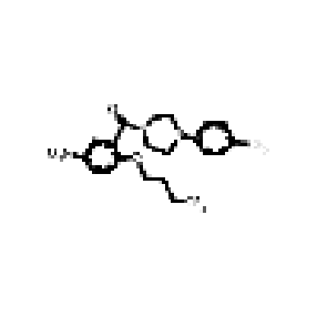 O=C(c1cc([N+](=O)[O-])ccc1OCCCC(F)(F)F)N1CCN(c2ccc(C(F)(F)F)cc2)CC1